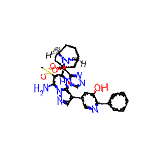 CS(=O)(=O)c1c([C@H]2C[C@H]3CC[C@@H](C2)N3C(=O)c2nnc[nH]2)nc2c(-c3cnc(-c4ccccc4)c(O)c3)cnn2c1N